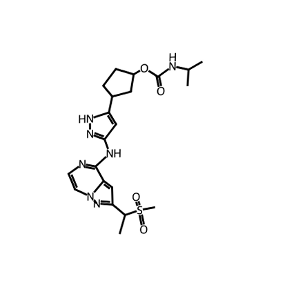 CC(C)NC(=O)OC1CCC(c2cc(Nc3nccn4nc(C(C)S(C)(=O)=O)cc34)n[nH]2)C1